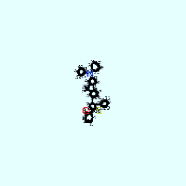 CC1(C)c2cc(-c3cc4oc5ccccc5c4c4sc5ccccc5c34)ccc2-c2ccc(N(c3ccccc3)c3ccccc3)cc21